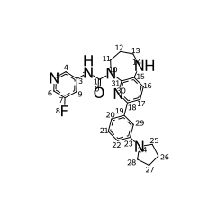 O=C(Nc1cncc(F)c1)N1CCCNc2ccc(-c3cccc(N4CCCC4)c3)nc21